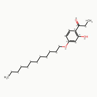 CCCCCCCCCCCCOc1ccc(C(=O)CC)c(O)c1